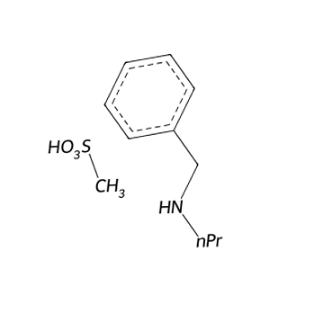 CCCNCc1ccccc1.CS(=O)(=O)O